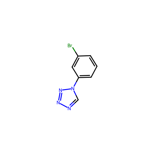 Brc1cccc(-n2cnnn2)c1